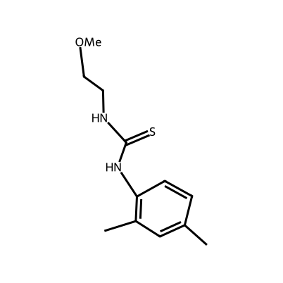 COCCNC(=S)Nc1ccc(C)cc1C